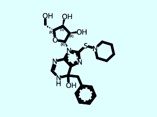 OC[C@H]1O[C@@H](n2c(SN3CCCCC3)nc3c2N=CNC3(O)Cc2ccccc2)[C@H](O)[C@@H]1O